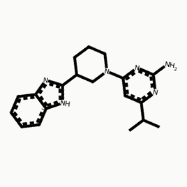 CC(C)c1cc(N2CCCC(c3nc4ccccc4[nH]3)C2)nc(N)n1